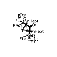 CCCCCCCC(CC)(C(=O)C(CC)(CCCCCCC)[Si](OCC)(OCC)OCC)[Si](OCC)(OCC)OCC